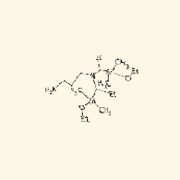 CCO[Si](C)(C)C(CC)N(CCCN)C(CC)[Si](C)(C)OCC